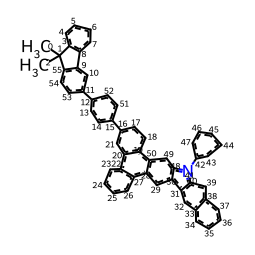 CC1(C)c2ccccc2-c2cc(-c3ccc(-c4ccc5c(c4)c4ccccc4c4cc6c7cc8ccccc8cc7n(-c7ccccc7)c6cc54)cc3)ccc21